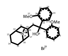 COc1ccccc1C(O)(CC1CC2CCCC(C1)[N+]2(C)C)c1ccccc1OC.[Br-]